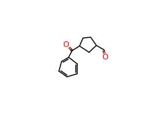 O=CC1CCC(C(=O)c2ccccc2)C1